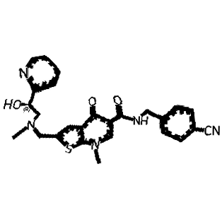 CN(Cc1cc2c(=O)c(C(=O)NCc3ccc(C#N)cc3)cn(C)c2s1)C[C@@H](O)c1ccccn1